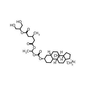 CC(=O)[C@H]1CC[C@H]2[C@@H]3CC[C@H]4C[C@H](OC(=O)OC(C)OC(=O)CC(C)CC(=O)OC(CO)CO)CC[C@]4(C)[C@H]3CC[C@]12C